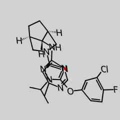 Cc1cc(N2C[C@H]3CC[C@@H](C2)[C@@H]3Nc2nc(Oc3ccc(F)c(Cl)c3)n(C(C)C)n2)ncn1